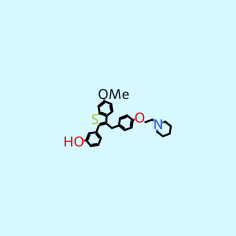 COc1ccc2c(Cc3ccc(OCCN4CCCCC4)cc3)c(-c3cccc(O)c3)sc2c1